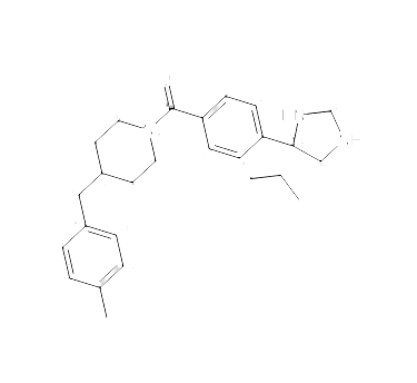 Cc1ccc(CC2CCN(C(=O)c3ccc([C@]4(C(C)C)CNCN4)cc3)CC2)cc1